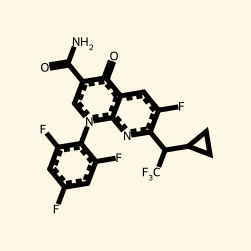 NC(=O)c1cn(-c2c(F)cc(F)cc2F)c2nc(C(C3CC3)C(F)(F)F)c(F)cc2c1=O